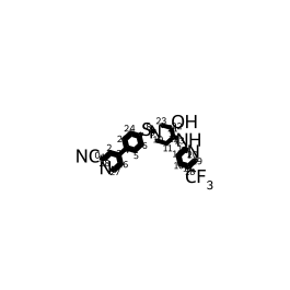 N#Cc1cc(-c2ccc(SN3CCC(Nc4ccc(C(F)(F)F)cn4)C(O)C3)cc2)ccn1